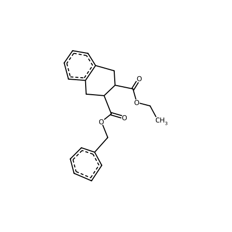 CCOC(=O)C1Cc2ccccc2CC1C(=O)OCc1ccccc1